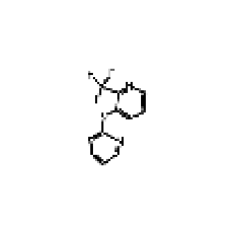 FC(F)(F)c1ncccc1Sc1ccccn1